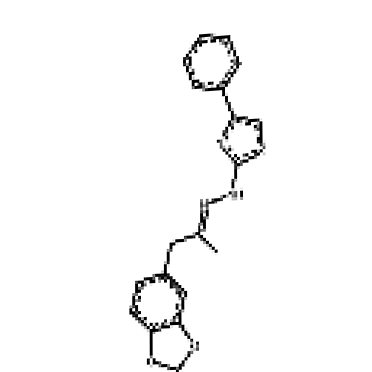 C/C(Cc1ccc2c(c1)OCO2)=N\Nc1nc(-c2ccccc2)cs1